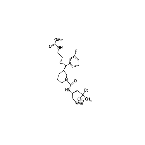 CCC(C)(C)C[C@@H](CNC)NC(=O)N1CCC[C@@H](C(OCCNC(=O)OC)c2cccc(F)c2)C1